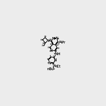 CCCCN(CC)c1nccc(Nc2cc3c(C(C)C)nnc(N4CCC4C)c3cn2)n1